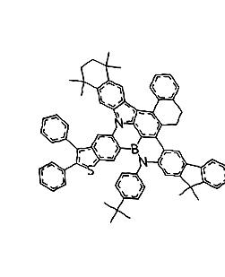 CC(C)(C)c1ccc(N2B3c4cc5sc(-c6ccccc6)c(-c6ccccc6)c5cc4-n4c5cc6c(cc5c5c7c(c(c3c54)-c3cc4c(cc32)C(C)(C)c2ccccc2-4)CCc2ccccc2-7)C(C)(C)CCC6(C)C)cc1